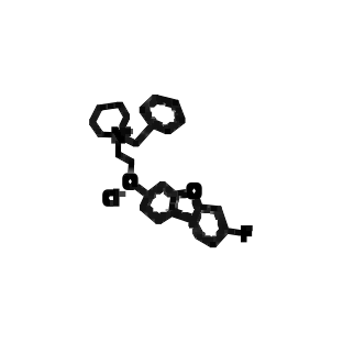 Fc1ccc2c(c1)oc1cc(OCC[N+]3(Cc4ccccc4)CCCCC3)ccc12.[Cl-]